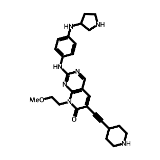 COCCn1c(=O)c(C#CC2CCNCC2)cc2cnc(Nc3ccc(NC4CCNC4)cc3)nc21